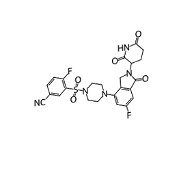 N#Cc1ccc(F)c(S(=O)(=O)N2CCN(c3cc(F)cc4c3CN(C3CCC(=O)NC3=O)C4=O)CC2)c1